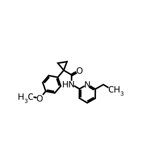 CCc1cccc(NC(=O)C2(c3ccc(OC)cc3)CC2)n1